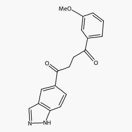 COc1cccc(C(=O)CCC(=O)c2ccc3[nH]ncc3c2)c1